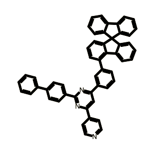 c1ccc(-c2ccc(-c3nc(-c4ccncc4)cc(-c4cccc(-c5cccc6c5-c5ccccc5C65c6ccccc6-c6ccccc65)c4)n3)cc2)cc1